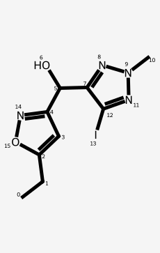 CCc1cc(C(O)c2nn(C)nc2I)no1